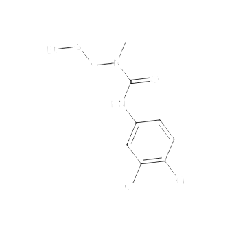 CCSSN(C)C(=O)Nc1ccc(Cl)c(Cl)c1